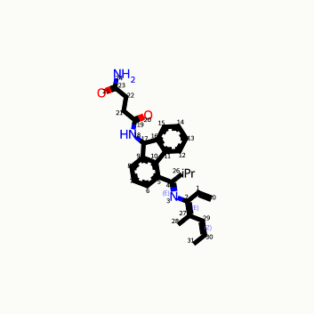 C=CC(/N=C(/c1cccc2c1-c1ccccc1C2NC(=O)CCC(N)=O)C(C)C)=C(C)\C=C/C